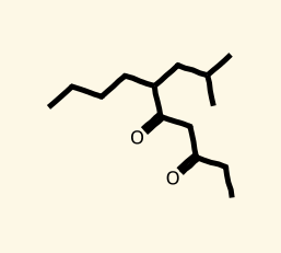 CCCCC(CC(C)C)C(=O)CC(=O)CC